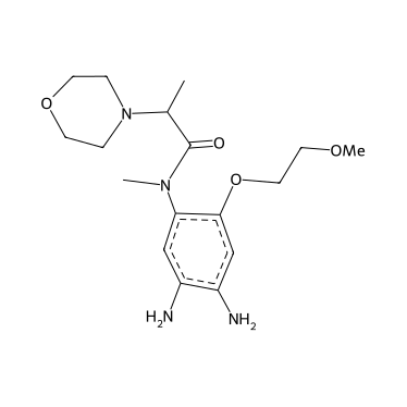 COCCOc1cc(N)c(N)cc1N(C)C(=O)C(C)N1CCOCC1